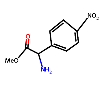 COC(=O)C(N)c1ccc([N+](=O)[O-])cc1